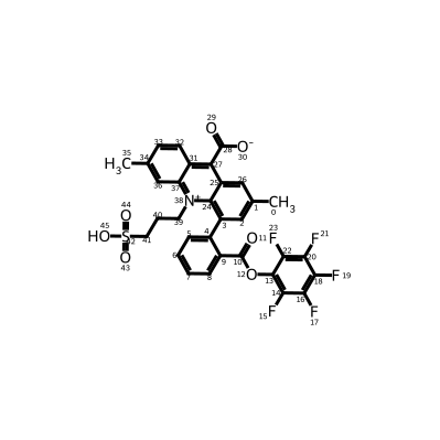 Cc1cc(-c2ccccc2C(=O)Oc2c(F)c(F)c(F)c(F)c2F)c2c(c1)c(C(=O)[O-])c1ccc(C)cc1[n+]2CCCS(=O)(=O)O